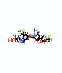 CC1CC(O)(c2ccc(C(F)(F)F)nc2)CC(COc2cc(C(F)(F)F)c3c(cnn3CC(C)(C)O)c2)N1